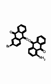 Nc1cccc2c1C(=O)c1ccccc1C2=O.O=C1c2ccccc2C(=O)c2cc(Br)ccc21